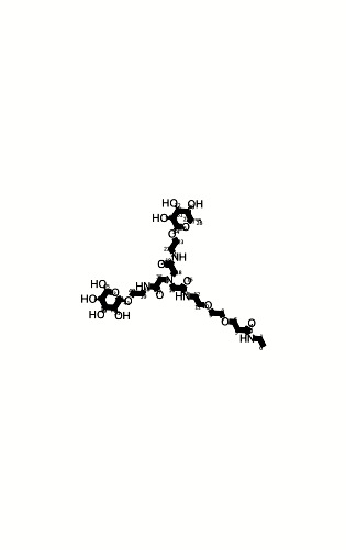 CCNC(=O)CCOCCOCCNC(=O)CN(CC(=O)NCCO[C@@H]1O[C@@H](C)[C@@H](O)[C@@H](O)[C@@H]1O)CC(=O)NCCO[C@@H]1O[C@@H](O)[C@@H](O)[C@@H](O)[C@@H]1O